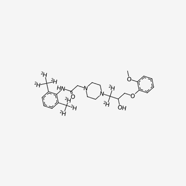 [2H]C([2H])([2H])c1cccc(C([2H])([2H])[2H])c1NC(=O)CN1CCN(C([2H])([2H])C(O)COc2ccccc2OC)CC1